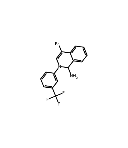 NC1c2ccccc2C(Br)=CN1c1cccc(C(F)(F)F)c1